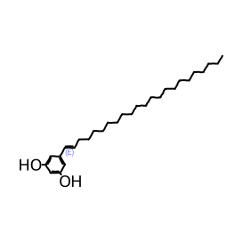 CCCCCCCCCCCCCCCCCCCCC/C=C/c1cc(O)cc(O)c1